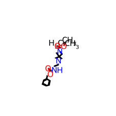 CC(C)(C)OC(=O)N1CC2(CN(CCNC(=O)OCc3ccccc3)C2)C1